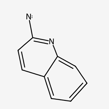 [N]c1ccc2ccccc2n1